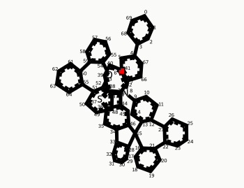 c1ccc(-c2ccc(N(c3ccc4c(c3)C3(c5ccccc5-c5ccccc5-4)c4ccccc4-c4cc5sc6ccccc6c5cc43)c3cccc4c3Oc3ccccc3-c3ccccc3-4)cc2)cc1